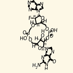 Nc1nc2c(ncn2[C@@H]2O[C@@H]3COP(=O)(O)CO[C@H]4[C@@H](F)[C@H](n5cnc6c(N)ncnc65)O[C@@H]4COP(=O)(O)O[C@@H]2[C@@H]3O)c(=O)[nH]1